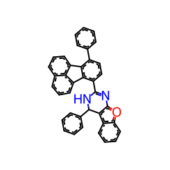 c1ccc(-c2ccc(C3=Nc4oc5ccccc5c4C(c4ccccc4)N3)c3c2-c2cccc4cccc-3c24)cc1